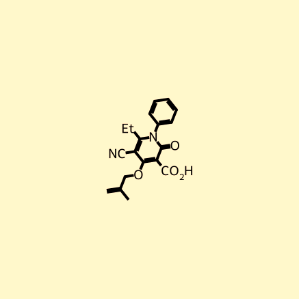 C=C(C)COc1c(C#N)c(CC)n(-c2ccccc2)c(=O)c1C(=O)O